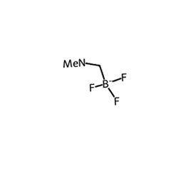 CNC[B-](F)(F)F